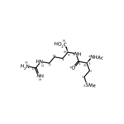 CSCC[C@H](NC(C)=O)C(=O)N[C@@H](CCCNC(=N)N)C(=O)O